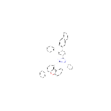 c1ccc(-c2nc(-c3ccc(-c4ccc5ccccc5c4)c(-c4ccccc4)c3)nc(-c3ccc(-c4ccccc4)c4oc5ccccc5c34)n2)cc1